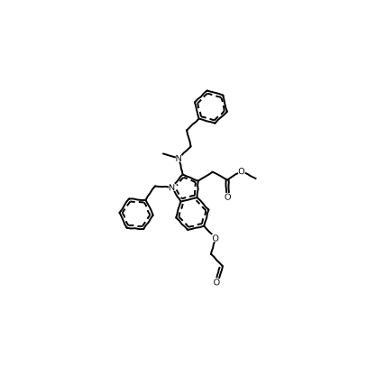 COC(=O)Cc1c(N(C)CCc2ccccc2)n(Cc2ccccc2)c2ccc(OCC=O)cc12